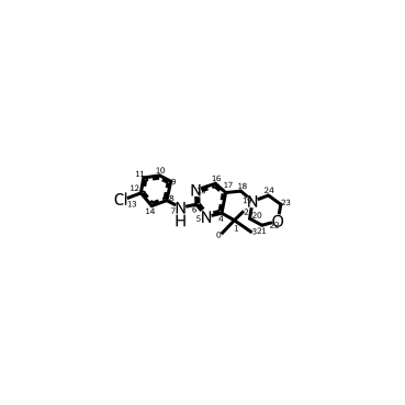 CC(C)(C)c1nc(Nc2cccc(Cl)c2)ncc1CN1CCOCC1